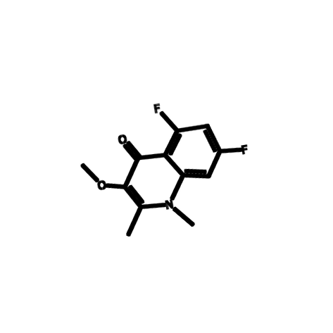 COc1c(C)n(C)c2cc(F)cc(F)c2c1=O